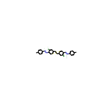 Cc1ccc(/C=C/c2cc3sc4c5cc(Cl)c(/C=C/c6ccc(C)cc6)cc5sc4c3cc2Cl)cc1